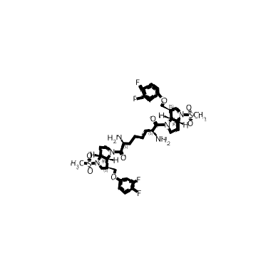 CS(=O)(=O)N1C[C@H](COc2ccc(F)c(F)c2)[C@@H]2[C@H]1CCN2C(=O)[C@@H](N)CCCC[C@H](N)C(=O)N1CC[C@@H]2[C@H]1[C@@H](COc1ccc(F)c(F)c1)CN2S(C)(=O)=O